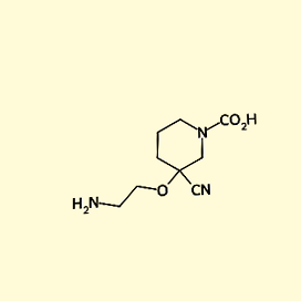 N#CC1(OCCN)CCCN(C(=O)O)C1